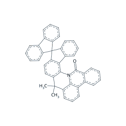 CC1(C)c2ccc3c(c2-n2c(=O)c4ccccc4c4cccc1c42)-c1ccccc1C31c2ccccc2-c2ccccc21